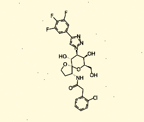 O=C(Cc1ccccc1Cl)N[C@@H]1CCO[C@]12O[C@H](CO)[C@H](O)[C@H](n1cc(-c3cc(F)c(F)c(F)c3)nn1)[C@H]2O